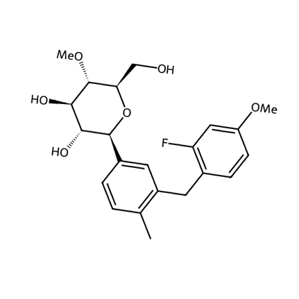 COc1ccc(Cc2cc([C@@H]3O[C@H](CO)[C@@H](OC)[C@H](O)[C@H]3O)ccc2C)c(F)c1